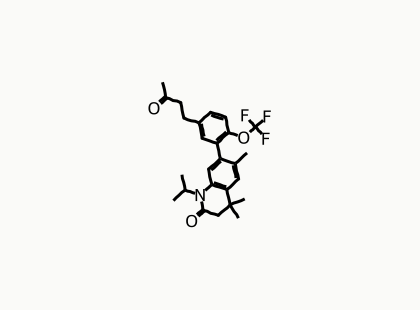 CC(=O)CCc1ccc(OC(F)(F)F)c(-c2cc3c(cc2C)C(C)(C)CC(=O)N3C(C)C)c1